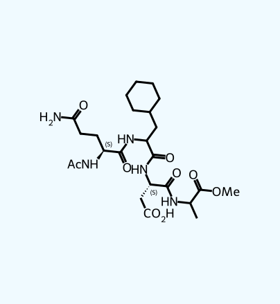 COC(=O)C(C)NC(=O)[C@H](CC(=O)O)NC(=O)C(CC1CCCCC1)NC(=O)[C@H](CCC(N)=O)NC(C)=O